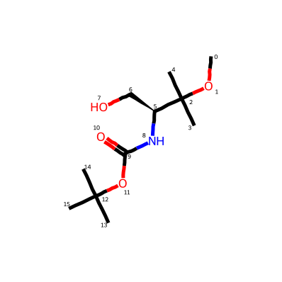 COC(C)(C)[C@H](CO)NC(=O)OC(C)(C)C